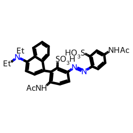 CCN(CC)c1ccc(-c2c(NC(C)=O)ccc(N=Nc3ccc(NC(C)=O)cc3S(=O)(=O)O)c2S(=O)(=O)O)c2ccccc12